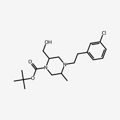 CC1CN(C(=O)OC(C)(C)C)C(CO)CN1CCc1cccc(Cl)c1